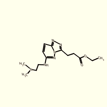 CCOC(=O)CCc1nnc2ccc(NCCN(C)C)nn12